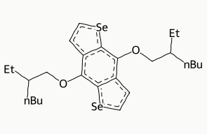 CCCCC(CC)COc1c2cc[se]c2c(OCC(CC)CCCC)c2cc[se]c12